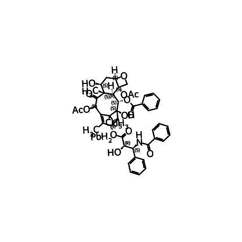 CC(=O)O[C@H]1C(=O)[C@@]2(C)[C@H]([C@H](OC(=O)c3ccccc3)[C@]3(O)C[C@H](OC(=O)[C@H](O)[C@@H](NC(=O)c4ccccc4)c4ccccc4)C(C)=C1C3(C)C)[C@]1(OC(C)=O)CO[C@@H]1C[C@@H]2O.[PbH2]